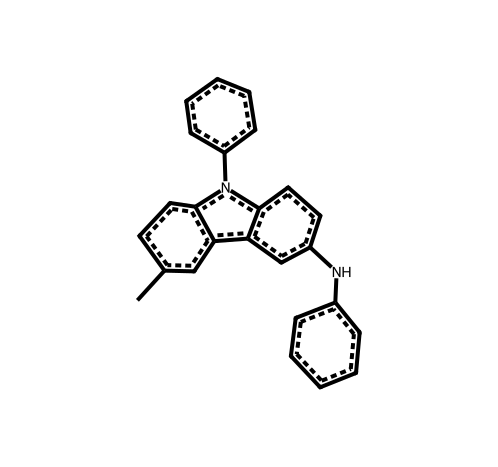 Cc1ccc2c(c1)c1cc(Nc3ccccc3)ccc1n2-c1ccccc1